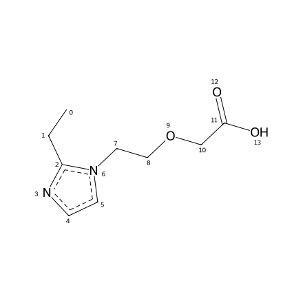 CCc1nccn1CCOCC(=O)O